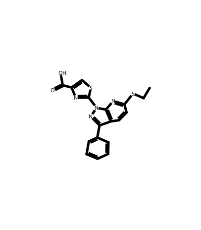 CCSc1ccc2c(-c3ccccc3)nn(-c3nc(C(=O)O)cs3)c2n1